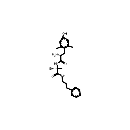 CC[C@@](C)(NC(=O)[C@@H](N)Cc1c(C)cc(O)cc1C)C(=O)NCCCc1ccccc1